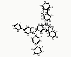 c1ccc(-c2ccc(N(c3ccc(-c4ccccc4)cc3)c3ccc4c(c3)n3c5ccccc5nc3n4-c3ccc4c(c3)oc3ccccc34)cc2)cc1